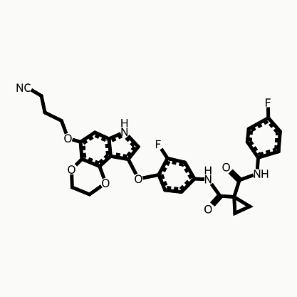 N#CCCCOc1cc2[nH]cc(Oc3ccc(NC(=O)C4(C(=O)Nc5ccc(F)cc5)CC4)cc3F)c2c2c1OCCO2